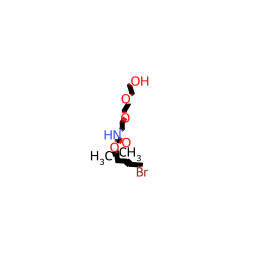 CC(C)(CC#CCBr)OC(=O)NCCOCCOCCO